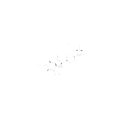 CCCn1c(=O)c2[nH]c(C34CCC(NS(=O)(=O)CC(=O)O)(CC3)CC4)nc2n(CCC)c1=O